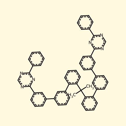 CC(C)(c1ccccc1-c1cccc(-c2cccc(-c3ncnc(-c4ccccc4)n3)c2)c1)c1ccccc1-c1cccc(-c2cccc(-c3ncnc(-c4ccccc4)n3)c2)c1